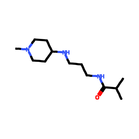 CC(C)C(=O)NCCCNC1CCN(C)CC1